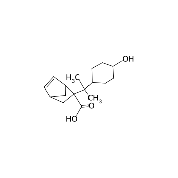 CC(C)(C1CCC(O)CC1)C1(C(=O)O)CC2C=CC1C2